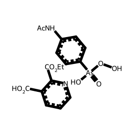 CC(=O)Nc1ccc([As](=O)(O)OO)cc1.CCOC(=O)c1ncccc1C(=O)O